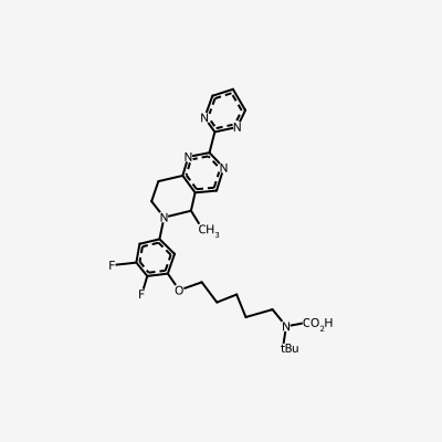 CC1c2cnc(-c3ncccn3)nc2CCN1c1cc(F)c(F)c(OCCCCCN(C(=O)O)C(C)(C)C)c1